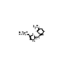 CCOC(=O)c1csc(Sc2cccc(C(F)(F)F)c2)n1